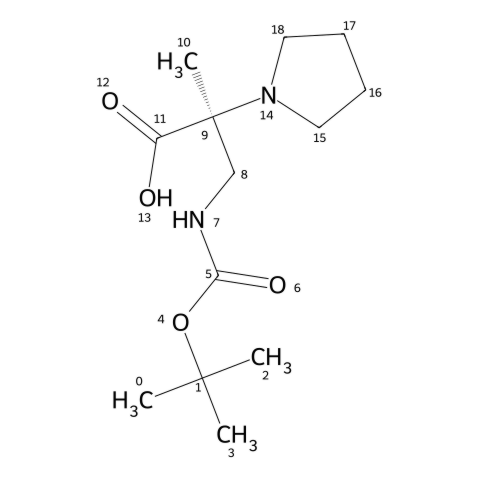 CC(C)(C)OC(=O)NC[C@@](C)(C(=O)O)N1CCCC1